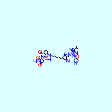 CC(C)c1cnn2c(NCc3ccc(CCCCCCNc4cccc(C=O)c4C(=O)N(C)C4CCC(=O)NC4=O)cc3N(C)C)nc(OC3CCN(C)CC3)nc12